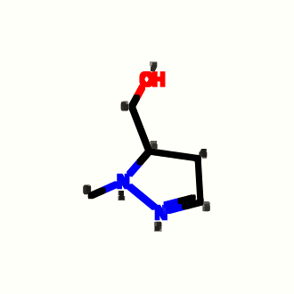 CN1N=CCC1CO